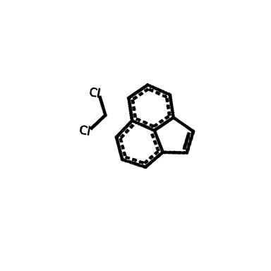 C1=Cc2cccc3cccc1c23.ClCCl